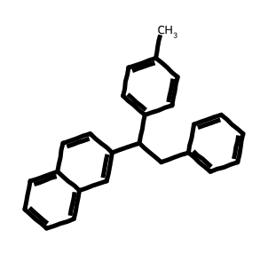 Cc1ccc(C(Cc2ccccc2)c2ccc3ccccc3c2)cc1